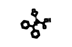 O=C(O)[C@@H]1[C@@H](C2COC2)N1C(c1ccccc1)c1ccccc1